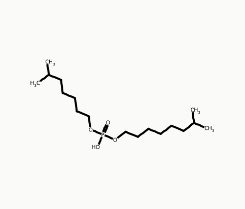 CC(C)CCCCCCOP(=O)(O)OCCCCCC(C)C